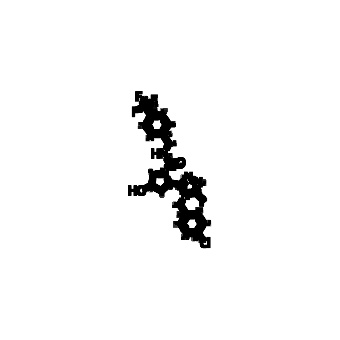 Cc1nnc(C2CC(O)CN2C(=O)NCc2ccc(C(F)(F)F)cc2)n1Cc1ccc(Cl)cc1